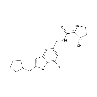 O=C(NCc1cc(F)c2oc(CC3CCCC3)cc2c1)[C@H]1NCC[C@@H]1O